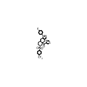 O=C(c1cscn1)[C@]12Cc3cnn(-c4ccc(F)cc4)c3C=C1CCN(S(=O)(=O)c1ccc(C(F)(F)F)cc1)C2